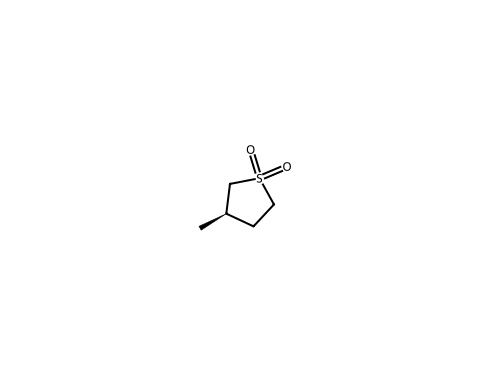 C[C@@H]1CCS(=O)(=O)C1